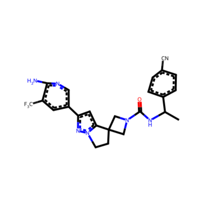 CC(NC(=O)N1CC2(CCn3nc(-c4cnc(N)c(C(F)(F)F)c4)cc32)C1)c1ccc(C#N)cc1